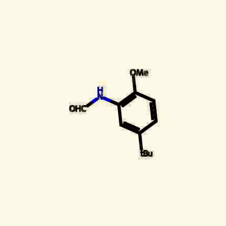 COc1ccc(C(C)(C)C)cc1NC=O